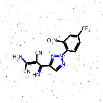 N#C/C(N)=C(/C#N)C(=N)c1cnn(-c2ccc(C(F)(F)F)cc2[N+](=O)[O-])n1